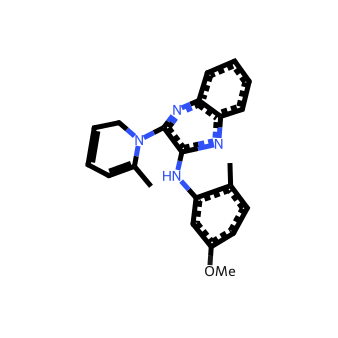 COc1ccc(C)c(Nc2nc3ccccc3nc2N2CC=CC=C2C)c1